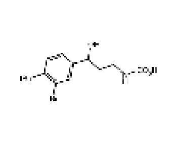 CC(C)(C)c1ccc(C(O)CCNC(=O)O)cc1Br